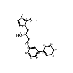 Cc1nccn1CC(O)COc1cccc(C2=CCCC=C2)c1